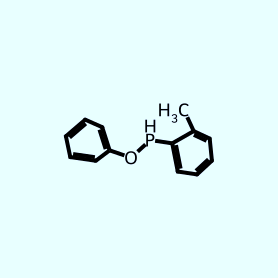 Cc1ccccc1POc1ccccc1